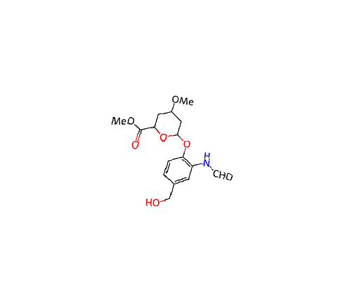 COC(=O)C1CC(OC)CC(Oc2ccc(CO)cc2NC=O)O1